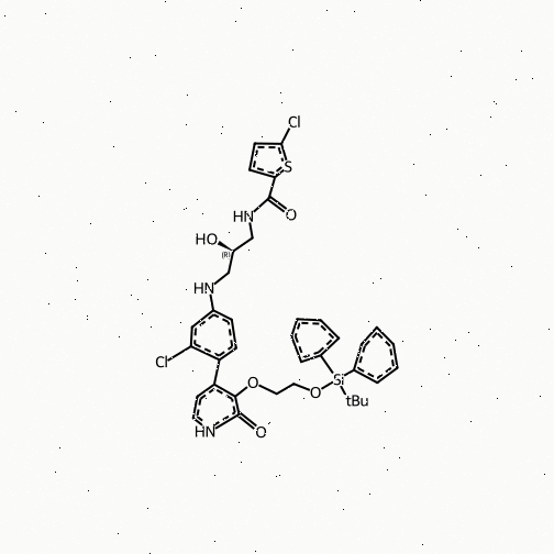 CC(C)(C)[Si](OCCOc1c(-c2ccc(NC[C@@H](O)CNC(=O)c3ccc(Cl)s3)cc2Cl)cc[nH]c1=O)(c1ccccc1)c1ccccc1